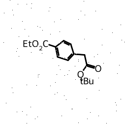 CCOC(=O)c1ccc(CC(=O)OC(C)(C)C)cc1